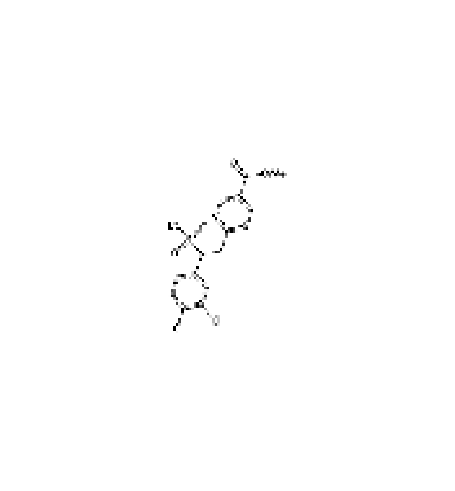 CCS(=O)(=O)N(Cc1ccc(C(=O)OC)cn1)c1ccc(Cl)c(Cl)c1